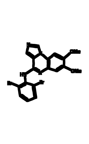 COc1cc2nc(Nc3c(Br)cccc3Br)c3cncn3c2cc1OC